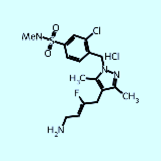 CNS(=O)(=O)c1ccc(Cn2nc(C)c(CC(F)=CCN)c2C)c(Cl)c1.Cl